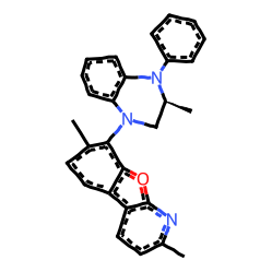 Cc1ccc2c(n1)oc1c(N3C[C@H](C)N(c4ccccc4)c4ccccc43)c(C)ccc12